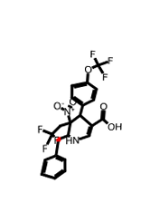 O=C(O)C1=CNC(Cc2ccccc2)C(CC(F)(F)F)([N+](=O)[O-])C1c1ccc(OC(F)(F)F)cc1